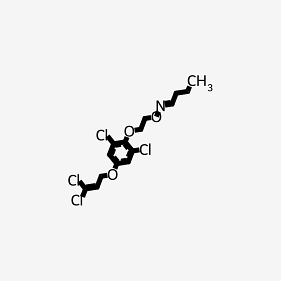 CCC/C=N/OCCOc1c(Cl)cc(OCC=C(Cl)Cl)cc1Cl